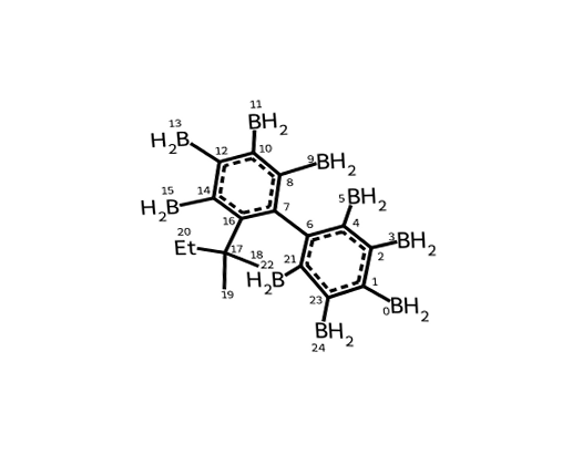 Bc1c(B)c(B)c(-c2c(B)c(B)c(B)c(B)c2C(C)(C)CC)c(B)c1B